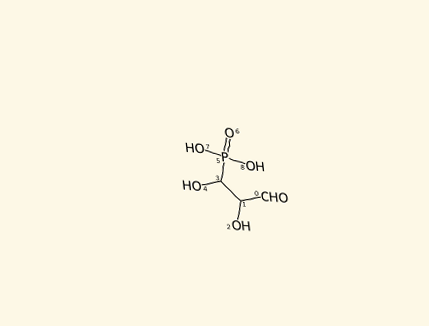 O=CC(O)C(O)P(=O)(O)O